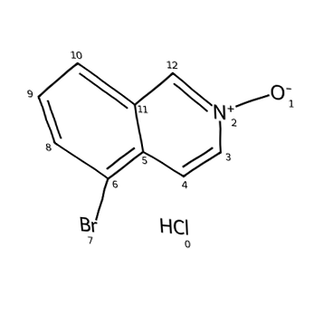 Cl.[O-][n+]1ccc2c(Br)cccc2c1